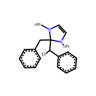 CCCN1C=CN(CCC)C1(Cc1ccccc1)C(CC)c1ccccc1